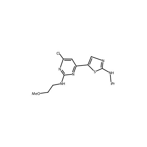 COCCNc1nc(Cl)cc(-c2cnc(NC(C)C)s2)n1